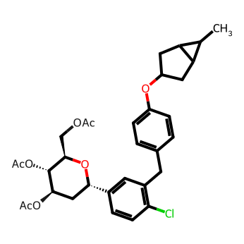 CC(=O)OC[C@H]1O[C@H](c2ccc(Cl)c(Cc3ccc(OC4CC5C(C)C5C4)cc3)c2)C[C@@H](OC(C)=O)[C@@H]1OC(C)=O